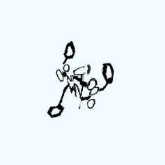 C[C@@H](C(=O)OCc1ccccc1)N(C[C@@H](Cc1ccccc1)NC(=O)OCc1ccccc1)C(=O)CCl